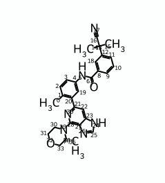 Cc1ccc(NC(=O)c2cccc(C(C)(C)C#N)c2)cc1-c1cc2[nH]cnc2c(N2CCOC[C@H]2C)n1